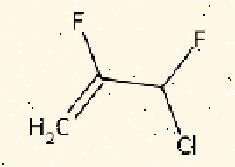 C=C(F)C(F)Cl